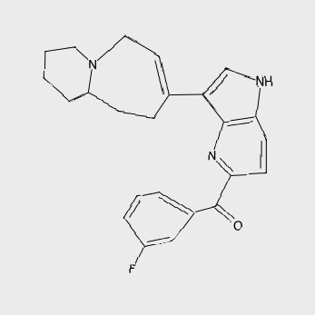 O=C(c1cccc(F)c1)c1ccc2[nH]cc(C3=CCN4CCCCC4CC3)c2n1